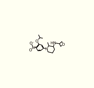 CC(C)Oc1cc(N2CCCC(NC3COC3)C2C)ccc1[N+](=O)[O-]